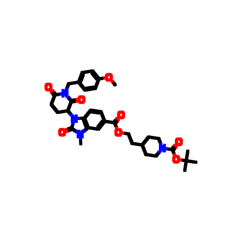 COc1ccc(CN2C(=O)CCC(n3c(=O)n(C)c4cc(C(=O)OCCC5CCN(C(=O)OC(C)(C)C)CC5)ccc43)C2=O)cc1